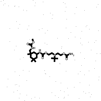 COC(=O)NCC1(C)CC(NC(=O)OCCN(CCOC(N)=O)C(C)(C)C)CC(C)(C)C1